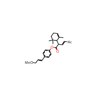 COCC=Cc1ccc(OC(=O)C(C=CC(C)=O)C2C(C)=CCCC2(C)C)cc1